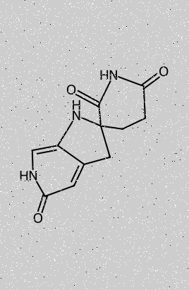 O=C1CCC2(Cc3cc(=O)[nH]cc3N2)C(=O)N1